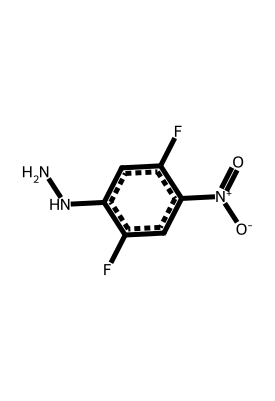 NNc1cc(F)c([N+](=O)[O-])cc1F